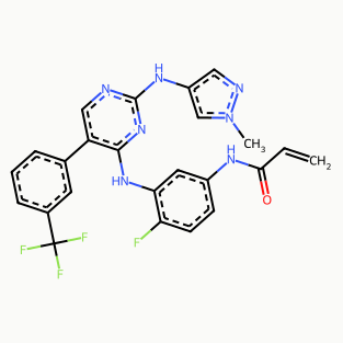 C=CC(=O)Nc1ccc(F)c(Nc2nc(Nc3cnn(C)c3)ncc2-c2cccc(C(F)(F)F)c2)c1